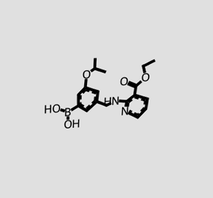 CCOC(=O)c1cccnc1NCc1cc(OC(C)C)cc(B(O)O)c1